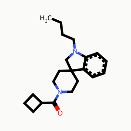 CCCCN1CC2(CCN(C(=O)C3CCC3)CC2)c2ccccc21